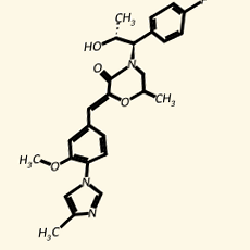 COc1cc(C=C2OC(C)CN([C@H](c3ccc(F)cc3)[C@@H](C)O)C2=O)ccc1-n1cnc(C)c1